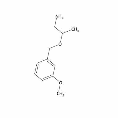 COc1cccc(COC(C)CN)c1